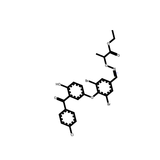 CCOC(=O)C(C)O/N=C\c1cc(Br)c(Oc2ccc(O)c(C(=O)c3ccc(Cl)cc3)c2)c(Br)c1